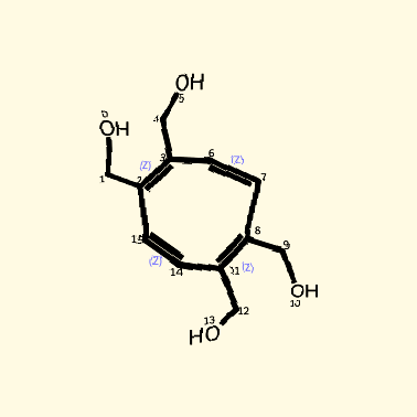 OCC1=C(CO)/C=C\C(CO)=C(CO)/C=C\1